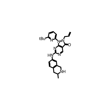 C=CCn1c(=O)c2cnc(Nc3ccc4c(c3)CNC(C)C4)nc2n1-c1cccc(C(C)(C)C)n1